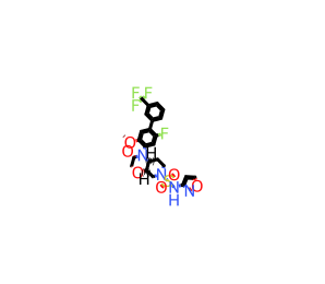 COc1cc(-c2cccc(C(F)(F)F)c2)c(F)cc1N1C(=O)CO[C@@H]2CN(S(=O)(=O)Nc3ccon3)CC[C@H]21